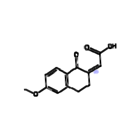 COc1ccc2c(c1)CC/C(=C/C(=O)O)C2=O